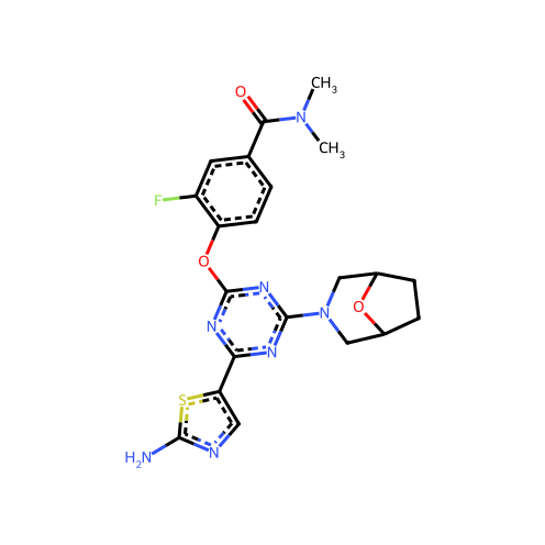 CN(C)C(=O)c1ccc(Oc2nc(-c3cnc(N)s3)nc(N3CC4CCC(C3)O4)n2)c(F)c1